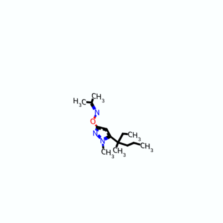 CCCC(C)(CC)c1cc(ON=C(C)C)nn1C